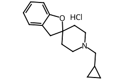 Cl.c1ccc2c(c1)CC1(CCN(CC3CC3)CC1)O2